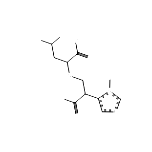 CC(C)CC(NCC(C(=O)O)c1cncn1C)C(=O)O